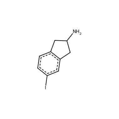 NC1Cc2ccc(I)cc2C1